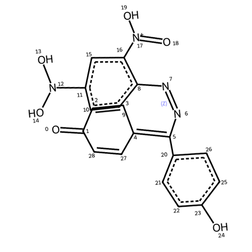 O=C1C=CC(=C(/N=N\c2ccc(N(O)O)cc2[N+](=O)O)c2ccc(O)cc2)C=C1